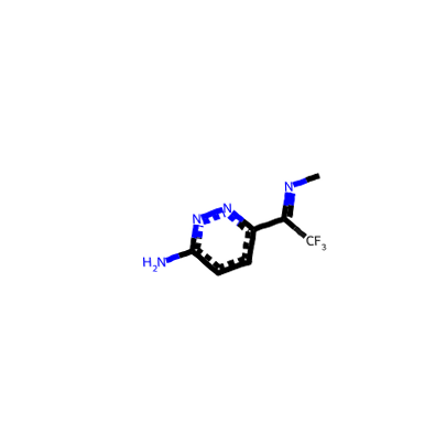 CN=C(c1ccc(N)nn1)C(F)(F)F